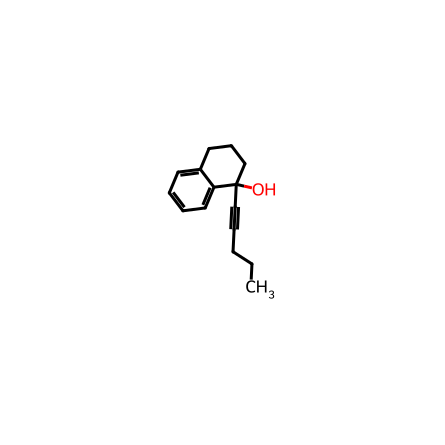 CCCC#CC1(O)CCCc2ccccc21